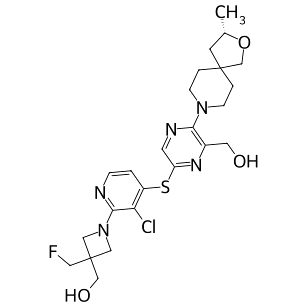 C[C@H]1CC2(CCN(c3ncc(Sc4ccnc(N5CC(CO)(CF)C5)c4Cl)nc3CO)CC2)CO1